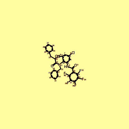 O=C(Nc1cc(Cl)cc(Cl)c1N(Cc1ccccc1)C(=O)C(O)Cc1ccccc1)c1c(F)c(F)c(F)c(F)c1F